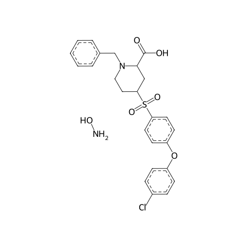 NO.O=C(O)C1CC(S(=O)(=O)c2ccc(Oc3ccc(Cl)cc3)cc2)CCN1Cc1ccccc1